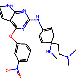 CNC1(CCN(C)C)C=CC(Nc2nc(Oc3cccc([N+](=O)[O-])c3)c3cc[nH]c3n2)=CC1